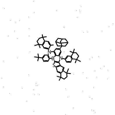 Cc1cc2c(cc1N1c3cc(C(C)(C)C)ccc3B3c4sc5cc6c(cc5c4N(c4ccc5c(c4)C(C)(C)CCC5(C)C)c4cc(C57CC8CC(CC(C8)C5)C7)cc1c43)C(C)(C)CCC6(C)C)C(C)(C)CCC2(C)C